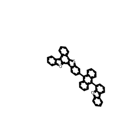 c1ccc2c(c1)oc1c(-c3c4ccccc4c(-c4ccc5c(c4)sc4c6ccccc6c6c7ccccc7oc6c54)c4ccccc34)cccc12